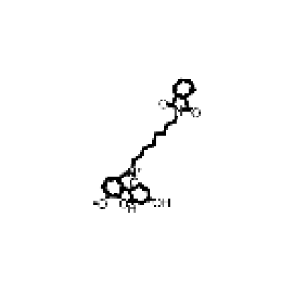 COc1ccc2c3c1O[C@@H]1C[C@H](O)C=CC31CC[N+](CCCCCCCCN1C(=O)c3ccccc3C1=O)=C2